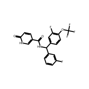 O=C(NC(c1cccc(F)c1)c1ccc(OC(F)(F)F)c(F)c1)c1ccc(=O)[nH]c1